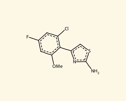 COc1cc(F)cc(Cl)c1-c1csc(N)n1